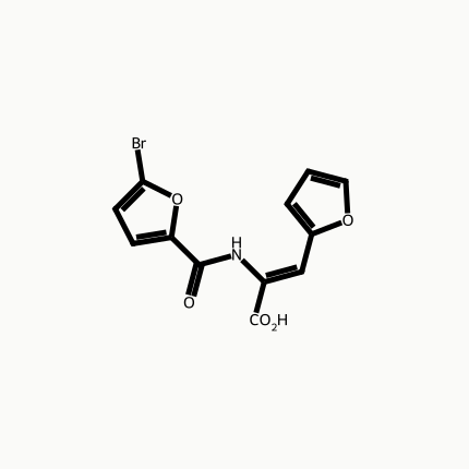 O=C(O)C(=Cc1ccco1)NC(=O)c1ccc(Br)o1